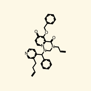 C=CCCc1cnccc1C(c1ccccc1)N1CN(CC=C)C(=O)c2c(OCc3ccccc3)c(=O)ccn21